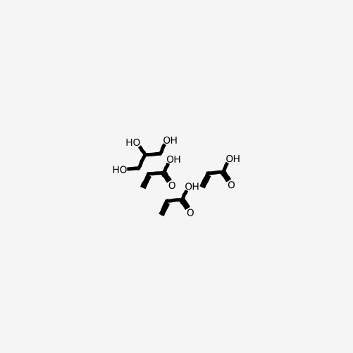 C=CC(=O)O.C=CC(=O)O.C=CC(=O)O.OCC(O)CO